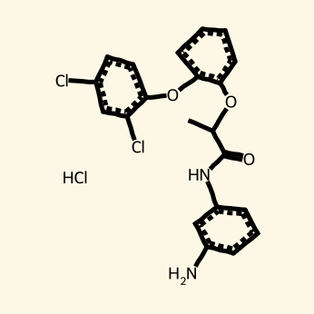 CC(Oc1ccccc1Oc1ccc(Cl)cc1Cl)C(=O)Nc1cccc(N)c1.Cl